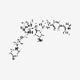 Cc1ncsc1-c1ccc([C@H](C)NC(=O)[C@@H]2C[C@@H](O)CN2C(=O)[C@@H](NC(=O)COC2CC(N3CCNCC3)C2)C(C)(C)C)cc1